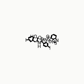 O=C(N[C@@H](Cc1cccc(I)c1)C(=O)O)c1ccc(I)cc1NS(=O)(=O)c1cccc2nsnc12